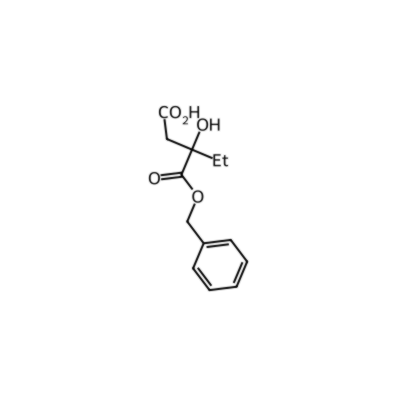 CCC(O)(CC(=O)O)C(=O)OCc1ccccc1